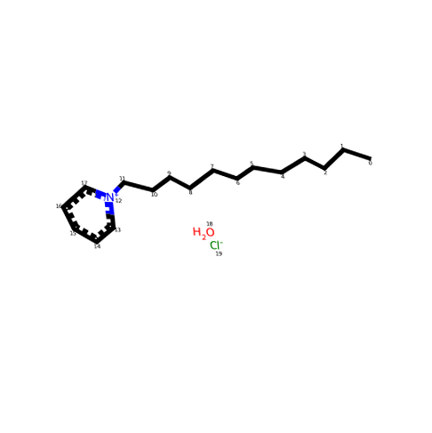 CCCCCCCCCCCC[n+]1ccccc1.O.[Cl-]